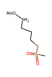 CO[SiH2]CCCSS(C)(=O)=O